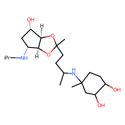 CC(C)N[C@@H]1C[C@H](O)[C@H]2OC(C)(CCC(C)NC3(C)CCC(O)C(O)C3)O[C@H]21